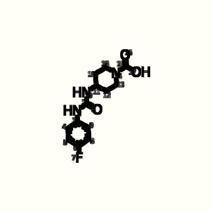 O=C(Nc1ccc(F)cc1)NC1CCN(C(=O)O)CC1